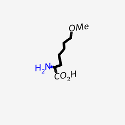 COCCCCCC(N)C(=O)O